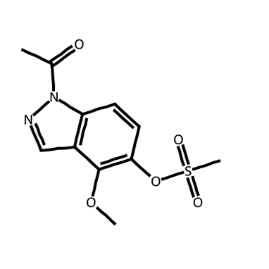 COc1c(OS(C)(=O)=O)ccc2c1cnn2C(C)=O